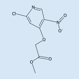 COC(=O)COc1cc(Cl)ncc1[N+](=O)[O-]